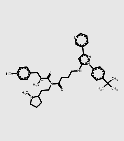 CN1CCCC1CCN(C(=O)CCCNc1cc(-c2cccnc2)nn1-c1ccc(C(C)(C)C)cc1)C(=O)[C@@H](N)Cc1ccc(O)cc1